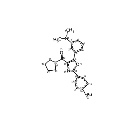 CN(C)c1cccc(-c2oc(-c3ccc(C(C)(C)C)cc3)nc2C(=O)N2CCCC2)c1